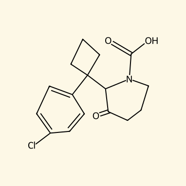 O=C1CCCN(C(=O)O)C1C1(c2ccc(Cl)cc2)CCC1